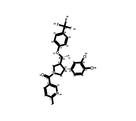 Cc1ccc(C(=O)N2CC([C@@H](C)Oc3ccc(C(F)(F)F)cc3)[C@H](c3ccc(Cl)c(Cl)c3)C2)cn1